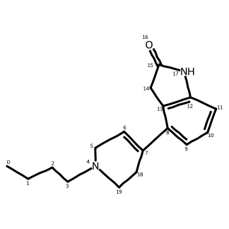 CCCCN1CC=C(c2cccc3c2CC(=O)N3)CC1